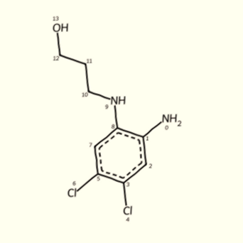 Nc1cc(Cl)c(Cl)cc1NCCCO